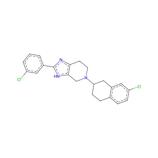 Clc1cccc(-c2nc3c([nH]2)CN(C2CCc4ccc(Cl)cc4C2)CC3)c1